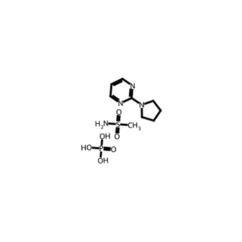 CS(N)(=O)=O.O=P(O)(O)O.c1cnc(N2CCCC2)nc1